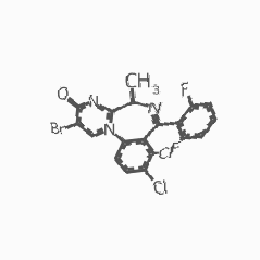 CC1N=C(c2c(F)cccc2F)c2c(ccc(Cl)c2Cl)-n2cc(Br)c(=O)nc21